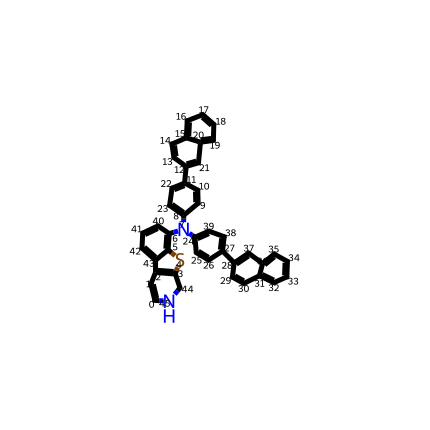 C1=Cc2c(sc3c(N(c4ccc(-c5ccc6ccccc6c5)cc4)c4ccc(-c5ccc6ccccc6c5)cc4)cccc23)CN1